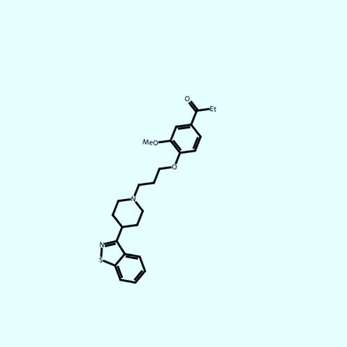 CCC(=O)c1ccc(OCCCN2CCC(c3nsc4ccccc34)CC2)c(OC)c1